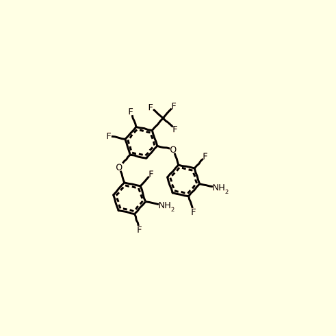 Nc1c(F)ccc(Oc2cc(Oc3ccc(F)c(N)c3F)c(C(F)(F)F)c(F)c2F)c1F